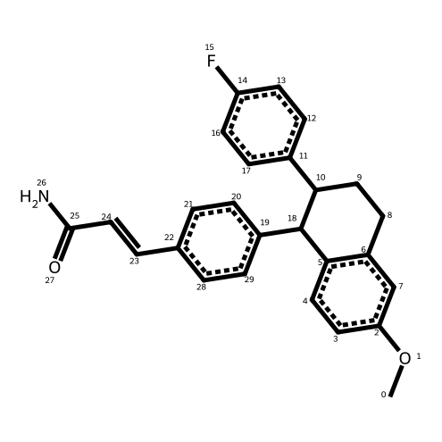 COc1ccc2c(c1)CCC(c1ccc(F)cc1)C2c1ccc(C=CC(N)=O)cc1